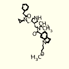 COCCCn1ccc2ccc(C(=O)N(C[C@@H]3CNC[C@H]3CN(C(=O)Cc3ccccc3)C3CC3)C(C)C)cc21